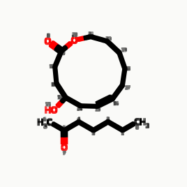 CCCCCC(C)=O.O=C1CCC(O)CC=CCCCCCO1